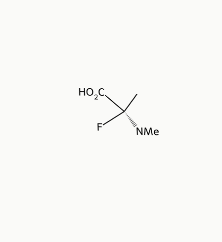 CN[C@](C)(F)C(=O)O